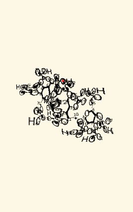 O=S(=O)(O)OC[C@H]1O[C@@H](OC[C@H](OS(=O)(=O)O)[C@H](OS(=O)(=O)O)[C@@H](OS(=O)(=O)O)[C@H](CO[C@@H]2O[C@H](COS(=O)(=O)O)[C@@H](OS(=O)(=O)O)[C@@H](OS(=O)(=O)O)[C@@H]2OS(=O)(=O)O)OS(=O)(=O)O)[C@@H](OS(=O)(=O)O)[C@H](OS(=O)(=O)O)[C@@H]1OS(=O)(=O)O